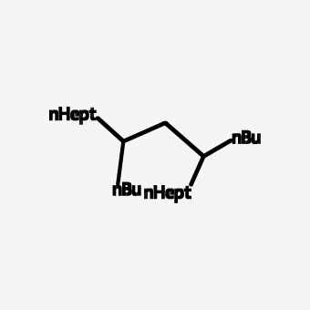 CCCCCCCC(CCCC)CC(CCCC)CCCCCCC